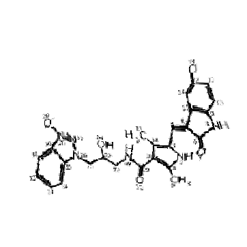 Cc1[nH]c(/C=C2\C(=O)Nc3ccc(Cl)cc32)c(C)c1C(=O)NCC(O)Cn1n[n+]([O-])c2ccccc21